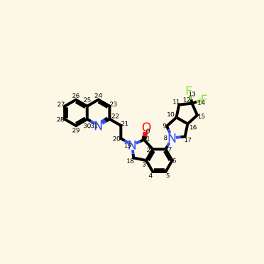 O=C1c2c(cccc2N2CC3CC(F)(F)CC3C2)CN1CCc1ccc2ccccc2n1